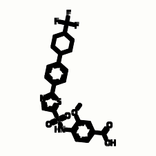 COc1cc(C(=O)O)ccc1NS(=O)(=O)c1cnc(-c2ccc(C3CCC(C(F)(F)F)CC3)cc2)s1